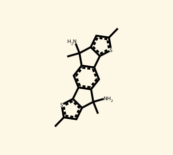 Cc1cc2c(s1)-c1cc3c(cc1C2(C)N)-c1sc(C)cc1C3(C)N